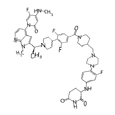 CNc1cc(=O)n(-c2ccnc3c2cc([C@H](C)N2CC=C(c4c(F)cc(C(=O)N5CCC(CN6CCN(c7ccc(NC8CCC(=O)NC8=O)cc7F)CC6)CC5)cc4F)CC2)n3C)cc1F